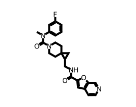 CN(C(=O)N1CCC2(CC1)CC2CNC(=O)c1cc2ccncc2o1)c1cccc(F)c1